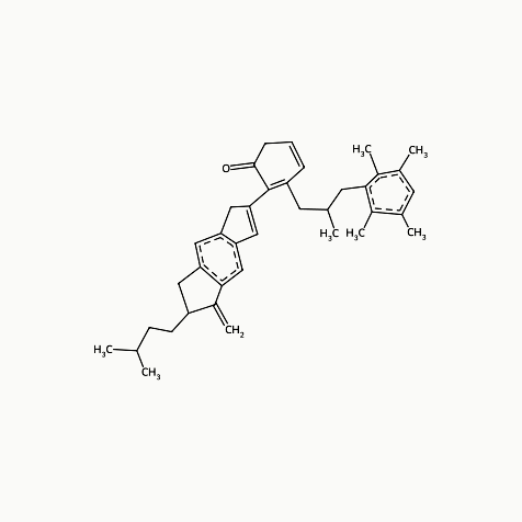 C=C1c2cc3c(cc2CC1CCC(C)C)CC(C1=C(CC(C)Cc2c(C)c(C)cc(C)c2C)C=CCC1=O)=C3